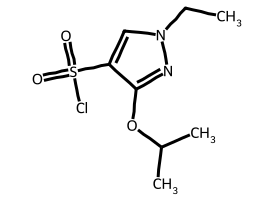 CCn1cc(S(=O)(=O)Cl)c(OC(C)C)n1